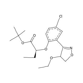 CCOC1CON=C1c1cc(Cl)ccc1O[C@@H](CC)C(=O)OC(C)(C)C